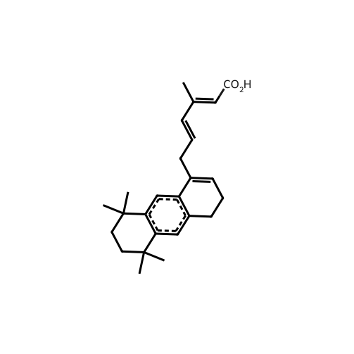 CC(C=CCC1=CCCc2cc3c(cc21)C(C)(C)CCC3(C)C)=CC(=O)O